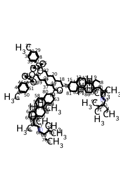 CC[C@H](/C=C/[C@@H](C)[C@H]1CC[C@H]2[C@@H]3CC=C4C[C@@H](C(CCCCCOS(=O)(=O)c5ccc(C)cc5)OC(CCCCCOS(=O)(=O)c5ccc(C)cc5)[C@H]5CC[C@@]6(C)C(=CC[C@H]7[C@@H]8CC[C@H]([C@H](C)/C=C/[C@@H](CC)C(C)C)[C@@]8(C)CC[C@@H]76)C5)CC[C@]4(C)[C@H]3CC[C@]12C)C(C)C